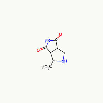 O=C1NC(=O)C2C1CNC2C(=O)O